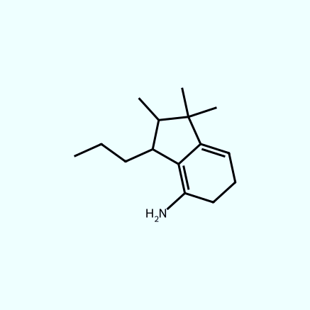 CCCC1C2=C(N)CCC=C2C(C)(C)C1C